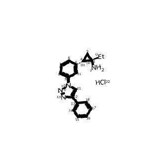 CC[C@]1(N)C[C@H]1c1cccc(-n2cc(-c3ccccc3)nn2)c1.Cl